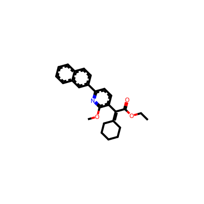 CCOC(=O)C(=C1CCCCC1)c1ccc(-c2ccc3ccccc3c2)nc1OC